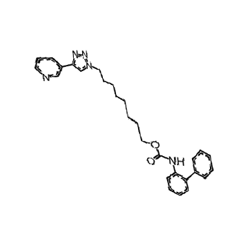 O=C(Nc1ccccc1-c1ccccc1)OCCCCCCCCn1cc(-c2cccnc2)nn1